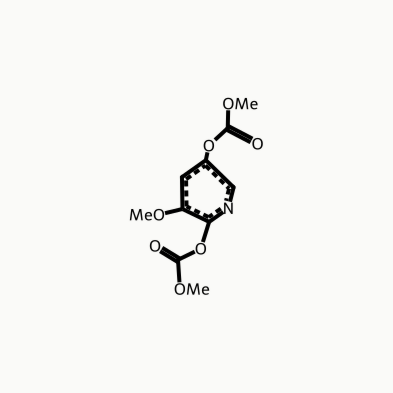 COC(=O)Oc1cnc(OC(=O)OC)c(OC)c1